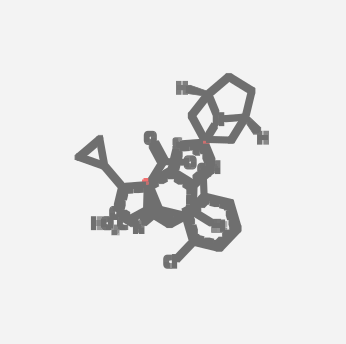 CCc1cc(C(=O)O)cc2sc(N3[C@@H]4CC[C@H]3C[C@@H](OC(=O)c3c(-c5c(Cl)cccc5Cl)noc3C3CC3)C4)nc12